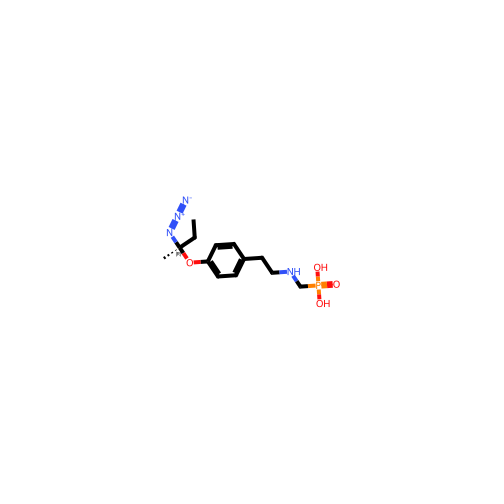 CC[C@](C)(N=[N+]=[N-])Oc1ccc(CCNCP(=O)(O)O)cc1